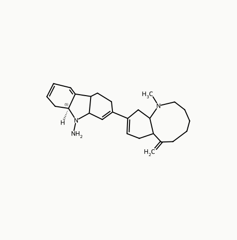 C=C1CCCCCN(C)C2CC(C3=CC4C(CC3)C3=CC=CC[C@@H]3N4N)=CCC12